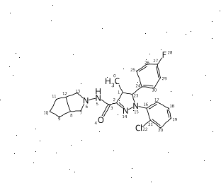 CC1C(C(=O)NN2CC3CCCC3C2)=NN(c2ccccc2Cl)C1c1ccc(F)cc1